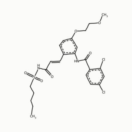 CCCCCS(=O)(=O)NC(=O)C=Cc1ccc(OCCOC)cc1NC(=O)c1ccc(Cl)cc1Cl